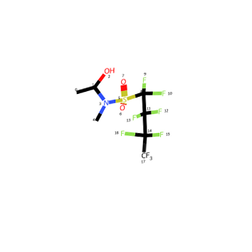 CC(O)N(C)S(=O)(=O)C(F)(F)C(F)(F)C(F)(F)C(F)(F)F